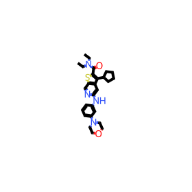 CCN(CC)C(=O)c1sc2cnc(Nc3cccc(N4CCOCC4)c3)cc2c1C1CCCC1